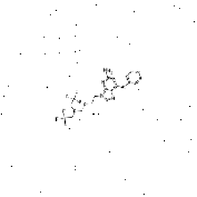 Nc1nc(Sc2ccccc2)c2ncn(CCOCP(CC(F)(F)F)CC(F)(F)F)c2n1